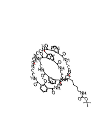 CCc1ccc2c(OC)c1C(=O)NCCN1CCNC(=O)c3cccc(c3OC)C(=O)NCCN(CCNC2=O)C(CCCCNC(=O)OC(C)(C)C)CN2CCNC(=O)c3cccc(c3O)C(=O)NCCN(CCNC(=O)c3cccc(c3OC)C(=O)NCC2)CC1